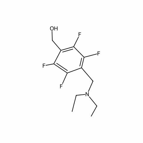 CCN(CC)Cc1c(F)c(F)c(CO)c(F)c1F